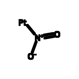 O=[N+]([O-])[Pt]